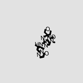 Cc1cc2nccc(=O)n2cc1Nc1ncc2c(n1)n(C1(C#N)CCOCC1)c(=O)n2C